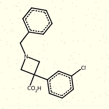 O=C(O)C1(c2cccc(Cl)c2)CN(Cc2ccccc2)C1